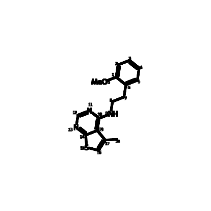 COc1ccccc1CCNc1ncnc2scc(C)c12